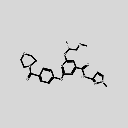 COC[C@@H](C)Oc1cc(C(=O)Nc2ccn(C)n2)cc(Oc2ccc(C(=O)N3CCOCC3)cc2)n1